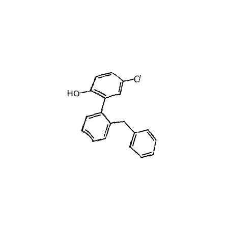 Oc1ccc(Cl)cc1-c1ccccc1Cc1ccccc1